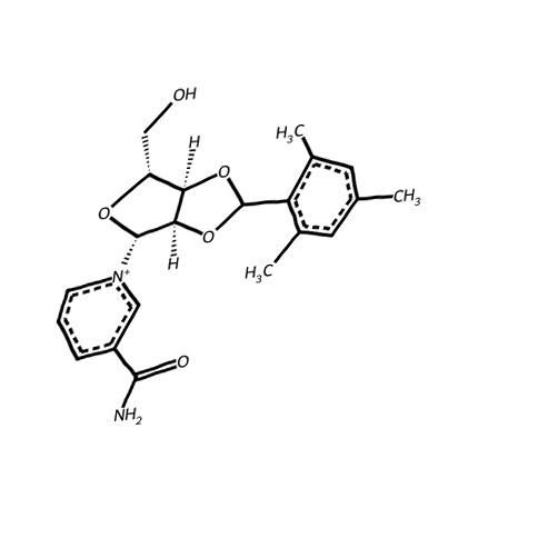 Cc1cc(C)c(C2O[C@@H]3[C@H](O2)[C@@H](CO)O[C@H]3[n+]2cccc(C(N)=O)c2)c(C)c1